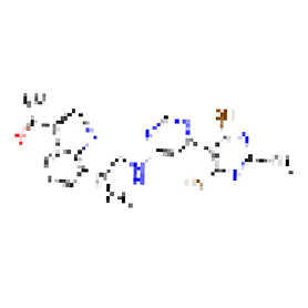 CNC(=O)c1ccnc2c([C@H](C)CNc3cc(-c4c(S)nc(C)nc4S)ncn3)cccc12